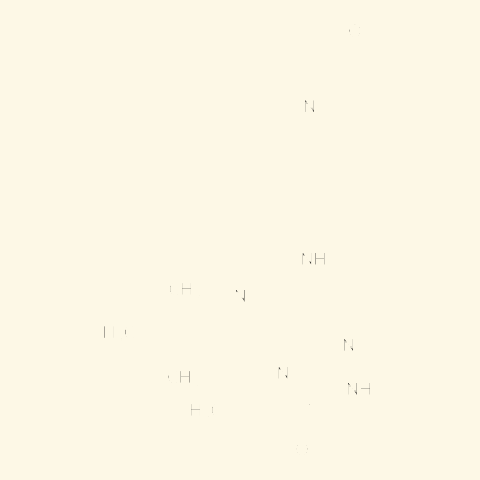 Cc1c(C(C)(C)C)nc(NCCCN2CCOCC2)c2n[nH]c(=O)n12